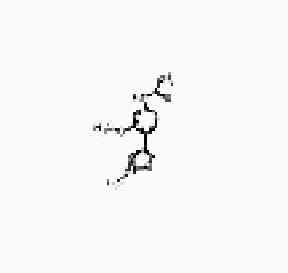 COc1cc(NC(N)=S)ccc1-c1cnn(C)c1